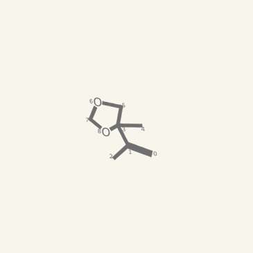 C=C(C)C1(C)COCO1